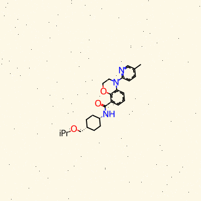 Cc1ccc(N2CCOc3c(C(=O)N[C@H]4CC[C@@H](COC(C)C)CC4)cccc32)nc1